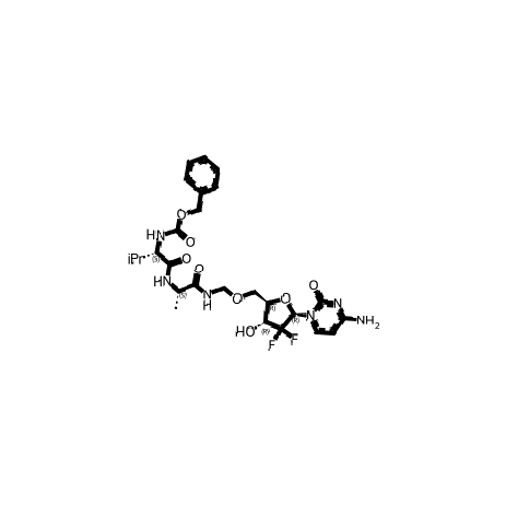 CC(C)[C@H](NC(=O)OCc1ccccc1)C(=O)N[C@@H](C)C(=O)NCOC[C@H]1O[C@@H](n2ccc(N)nc2=O)C(F)(F)[C@@H]1O